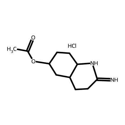 CC(=O)OC1CCC2NC(=N)CCC2C1.Cl